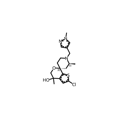 C[C@H]1C[C@@]2(CCN1Cc1cnn(C)c1)OCC(C)(O)c1cc(Cl)sc12